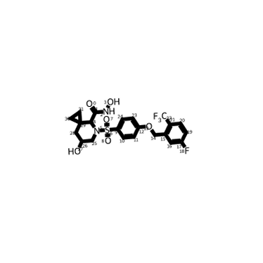 O=C(NO)C1N(S(=O)(=O)c2ccc(OCc3cc(F)ccc3C(F)(F)F)cc2)CC(O)CC12CC2